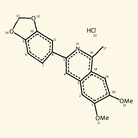 COc1cc2cc(-c3ccc4c(c3)OCO4)nc(C)c2cc1OC.Cl